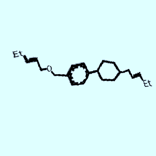 CCC=CCOCc1ccc(C2CCC(CC=CCC)CC2)cc1